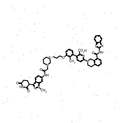 Cc1c(OCCC[C@H]2CCCN(CC(=O)Nc3ccc4c(C5CCC(=O)NC5=O)nn(C)c4c3)C2)cccc1-c1ccc(N2CCc3cccc(C(=O)Nc4nc5ccccc5s4)c3C2)nc1C(=O)O